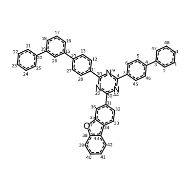 c1ccc(-c2ccc(-c3nc(-c4ccc(-c5cccc(-c6ccccc6)c5)cc4)nc(-c4ccc5c(c4)oc4ccccc45)n3)cc2)cc1